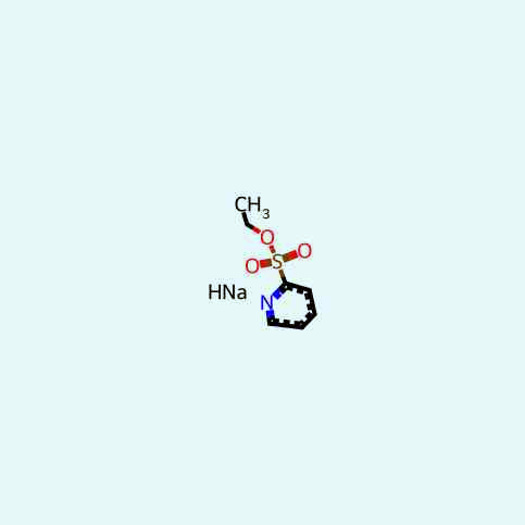 CCOS(=O)(=O)c1ccccn1.[NaH]